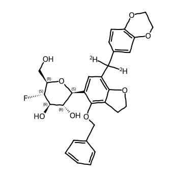 [2H]C([2H])(c1ccc2c(c1)OCCO2)c1cc([C@@H]2O[C@H](CO)[C@@H](F)[C@H](O)[C@H]2O)c(OCc2ccccc2)c2c1OCC2